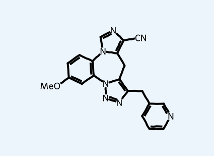 COc1ccc2c(c1)-n1nnc(Cc3cccnc3)c1Cc1c(C#N)ncn1-2